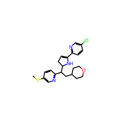 CSc1ccc(C(CC2CCOCC2)C2CC=C(c3ccc(Cl)cn3)N2)nc1